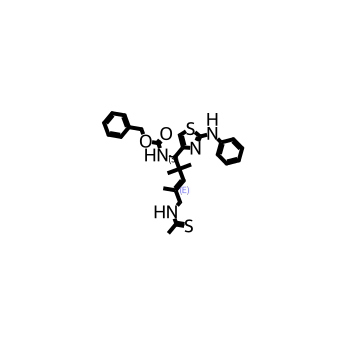 CC(=S)NC/C(C)=C/C(C)(C)[C@H](NC(=O)OCc1ccccc1)c1csc(Nc2ccccc2)n1